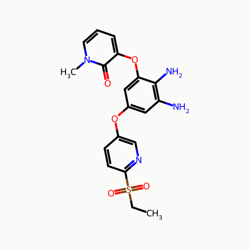 CCS(=O)(=O)c1ccc(Oc2cc(N)c(N)c(Oc3cccn(C)c3=O)c2)cn1